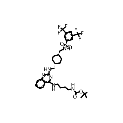 CC(C)(C)OC(=O)NCCCCNc1nc(NC[C@H]2CC[C@H](CNS(=O)(=O)c3cc(C(F)(F)F)cc(C(F)(F)F)c3)CC2)nc2ccccc12